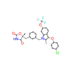 Cc1c(Oc2ccc(Cl)cc2)c2ccc(OC(F)(F)F)cc2n1Cc1cccc(C[C@@]2(C)OC(=O)NC2=O)c1